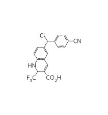 N#Cc1ccc(C(Cl)c2ccc3c(c2)C=C(C(=O)O)C(C(F)(F)F)N3)cc1